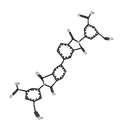 C#Cc1cc(C(=O)O)cc(N2C(=O)c3ccc(-c4ccc5c(c4)C(=O)N(c4cc(C#C)cc(C(=O)O)c4)C5=O)cc3C2=O)c1